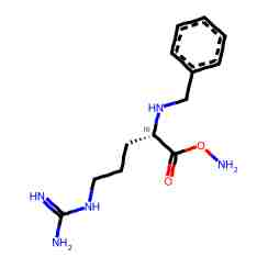 N=C(N)NCCC[C@H](NCc1ccccc1)C(=O)ON